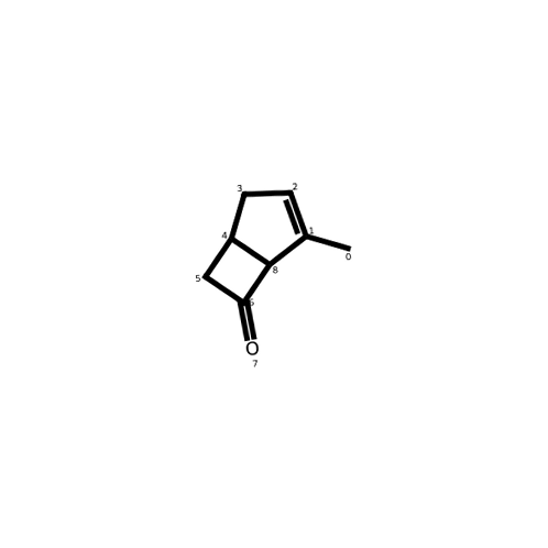 CC1=CCC2CC(=O)C12